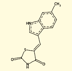 Cc1ccc2c(/C=C3\SC(=O)NC3=O)c[nH]c2c1